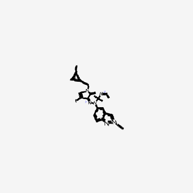 C=C1/C(=N\N(c2ccc3nn(C)cc3c2)C(C)(C)/N=C\C)C(I)=CN1CC1CC1C